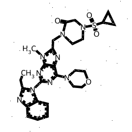 CCc1nc2ccccc2n1-c1nc(N2CCOCC2)c2nc(CN3CCN(S(=O)(=O)C4CC4)CC3=O)n(C)c2n1